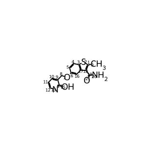 Cc1sc2ccc(OCc3cccnc3O)cc2c1C(N)=O